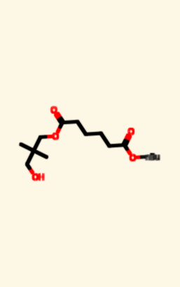 CCCCOC(=O)CCCCC(=O)OCC(C)(C)CO